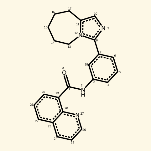 O=C(Nc1cccc(-c2ncc3n2CCCCC3)c1)c1cccc2cccnc12